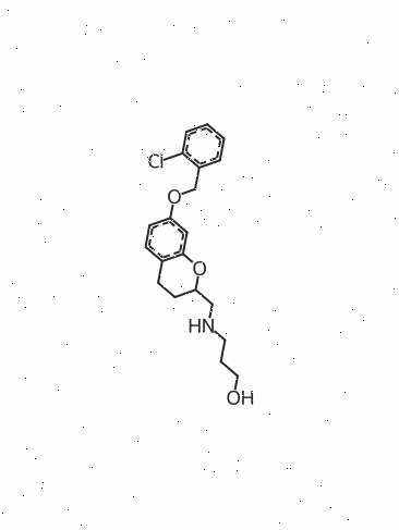 OCCCNCC1CCc2ccc(OCc3ccccc3Cl)cc2O1